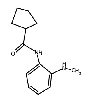 CNc1ccccc1NC(=O)C1CCCC1